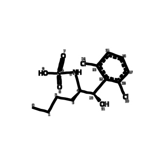 CCCC[C@@H](NS(=O)(=O)O)[C@H](O)c1c(Cl)cccc1Cl